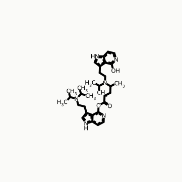 CC(C)N(CCc1c[nH]c2ccnc(OC(=O)CCC(C)N(CCc3c[nH]c4ccnc(O)c34)C(C)C)c12)C(C)C